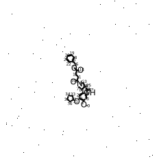 COc1ccc([C@@H]2CN(C(=O)CCC(=O)OCc3ccccc3)C[C@@]2(C)[C@@H](C)O)cc1OC1CCCC1